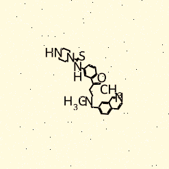 Cc1oc2ccc(NC(=S)N3CCNCC3)cc2c1CCN(C)Cc1ccc2ccncc2c1